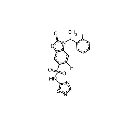 CC(c1ccccc1I)n1c(=O)oc2cc(S(=O)(=O)Nc3ncns3)c(F)cc21